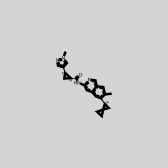 Cc1cc2cnc(NC(=O)[C@@H]3C[C@H]3c3cnn(C)c3)cc2cc1[C@H]1CC12CC2